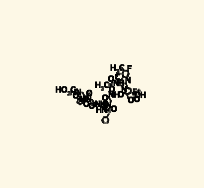 CC[C@@]1(O)C(=O)OCc2c1cc1n(c2=O)Cc2c-1nc1cc(F)c(C)c3c1c2[C@@H](NC(=O)[C@H](C)OCNC(=O)CNC(=O)[C@H](Cc1ccccc1)NC(=O)CNC(=O)CNC(=O)C(CNCC(=O)O)N1C(=O)C=CC1=O)CC3